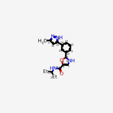 CCC(CC)NC(=O)C1=CNC(c2cccc(-c3cc(C)n[nH]3)c2)O1